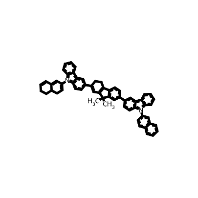 CC1(C)C2=C(CCC(c3ccc4c(c3)c3ccccc3n4C3=CCC4CCC=CC4=C3)=C2)c2ccc(-c3ccc4c(c3)c3ccccc3n4-c3ccc4ccccc4c3)cc21